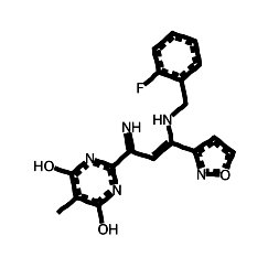 Cc1c(O)nc(C(=N)/C=C(\NCc2ccccc2F)c2ccon2)nc1O